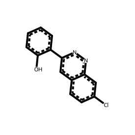 Oc1ccccc1-c1cc2ccc(Cl)cc2nn1